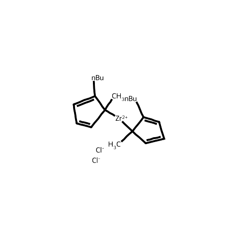 CCCCC1=CC=C[C]1(C)[Zr+2][C]1(C)C=CC=C1CCCC.[Cl-].[Cl-]